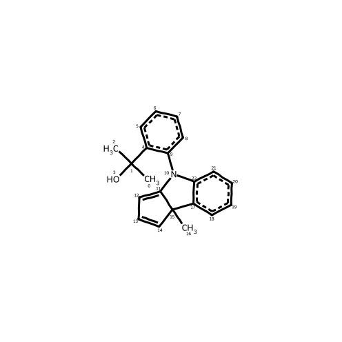 CC(C)(O)c1ccccc1N1C2=CC=CC2(C)c2ccccc21